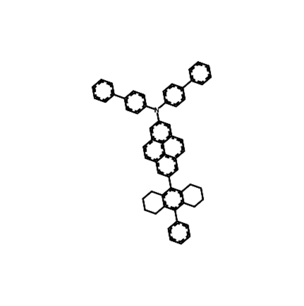 c1ccc(-c2ccc(N(c3ccc(-c4ccccc4)cc3)c3cc4ccc5cc(-c6c7c(c(-c8ccccc8)c8c6CCCC8)CCCC7)cc6ccc(c3)c4c56)cc2)cc1